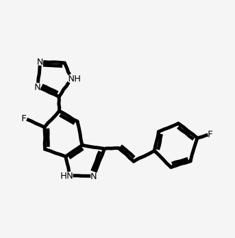 Fc1ccc(C=Cc2n[nH]c3cc(F)c(-c4nnc[nH]4)cc23)cc1